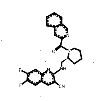 N#Cc1cc2cc(F)c(F)cc2nc1NC[C@@H]1CCCCN1C(=O)c1cc2ccccc2cn1